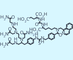 NC(=O)CNCCN(CCN(CC(N)=O)C(CNCC(N)=O)Cc1ccc(NC(=S)NCc2ccc(C(=O)N(CCCC[C@@H](NC(=O)N[C@H](CCC(=O)O)C(=O)O)C(=O)O)Cc3nccc4ccccc34)cc2)cc1)CC(N)=O